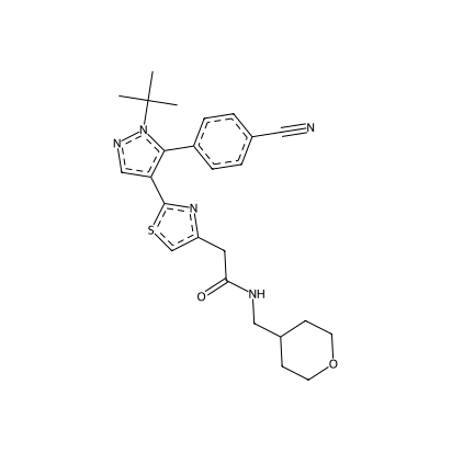 CC(C)(C)n1ncc(-c2nc(CC(=O)NCC3CCOCC3)cs2)c1-c1ccc(C#N)cc1